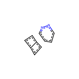 c1cc2ccc1-2.c1ccnnc1